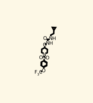 O=C(NCCC1CC1)NOC1CCN(S(=O)(=O)c2ccc(OC(F)(F)F)cc2)CC1